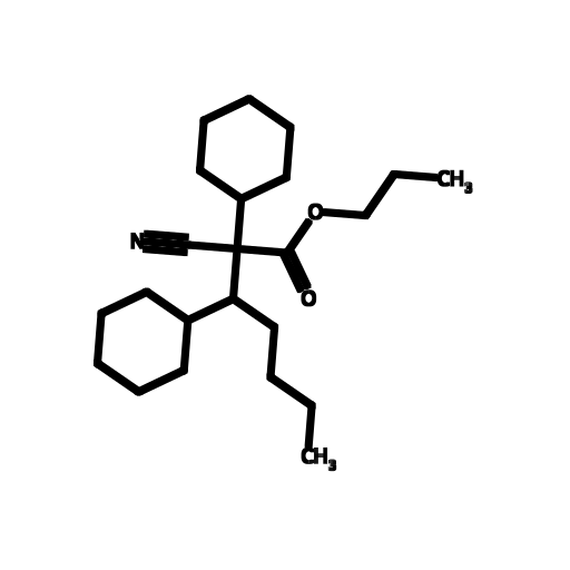 CCCCC(C1CCCCC1)C(C#N)(C(=O)OCCC)C1CCCCC1